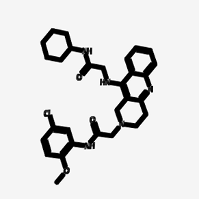 COc1ccc(Cl)cc1NC(=O)CN1CCc2nc3ccccc3c(NCC(=O)NC3CCCCC3)c2C1